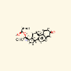 CCCCCC(=O)O/C(C=O)=C1/CC[C@H]2[C@@H]3CCC4=CC(=O)CC[C@]4(C)C3=CC[C@]12C